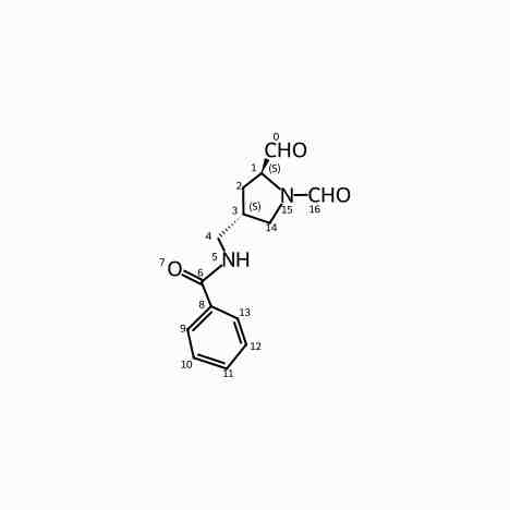 O=C[C@@H]1C[C@@H](CNC(=O)c2ccccc2)CN1C=O